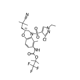 CCn1cc(S(=O)(=O)N2C[C@H](CC(C)(C)C#N)Oc3ccc(NC(=O)OC(C)(C)C(F)(F)F)c(C)c32)c(Cl)n1